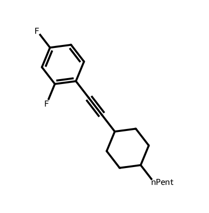 CCCCCC1CCC(C#Cc2ccc(F)cc2F)CC1